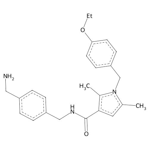 CCOc1ccc(Cn2c(C)cc(C(=O)NCc3ccc(CN)cc3)c2C)cc1